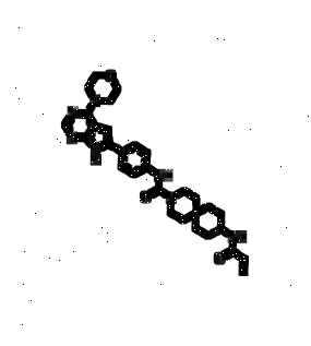 C=CC(=O)NC1CCC2(CC1)CCN(C(=O)Nc1ccc(-c3cc4c(N5CCOCC5)ncnc4[nH]3)cc1)CC2